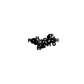 CC[C@@H]1C[C@]1(NC(=O)c1cc2cc(F)ccc2[nH]1)C(=O)NC(CC1CCNC1=O)C(=O)COC(F)(F)F